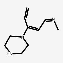 C=C/C(=C\C=N/C)N1CCNCC1